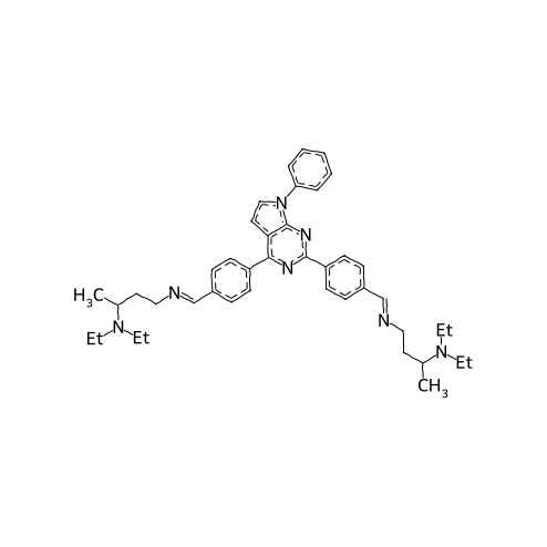 CCN(CC)C(C)CCN=Cc1ccc(-c2nc(-c3ccc(C=NCCC(C)N(CC)CC)cc3)c3ccn(-c4ccccc4)c3n2)cc1